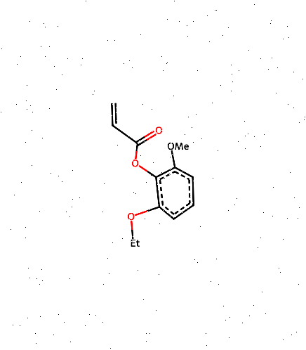 C=CC(=O)Oc1c(OC)cccc1OCC